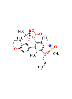 C=CCOc1c(C)c(-c2ccc3c(c2)CCCO3)c(C(OC(C)(C)C)C(=O)O)c(C)c1NS(C)(=O)=O